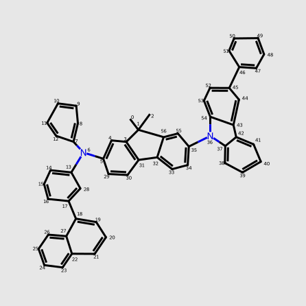 CC1(C)c2cc(N(c3ccccc3)c3cccc(-c4cccc5ccccc45)c3)ccc2-c2ccc(-n3c4ccccc4c4cc(-c5ccccc5)ccc43)cc21